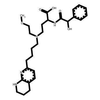 COCCN(CCCCc1ccc2c(n1)NCCC2)CCC(NC(=O)C(O)c1ccccc1)C(=O)O